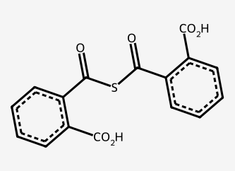 O=C(O)c1ccccc1C(=O)SC(=O)c1ccccc1C(=O)O